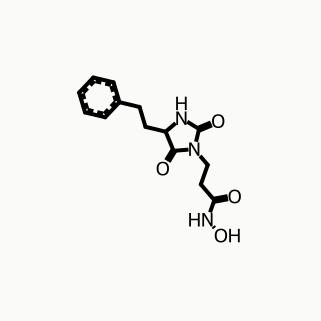 O=C(CCN1C(=O)NC(CCc2ccccc2)C1=O)NO